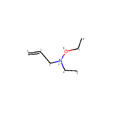 C=CCN(CC)OCC